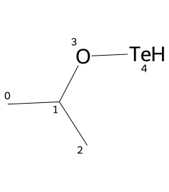 CC(C)O[TeH]